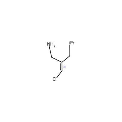 CC(C)C/C(=C/Cl)CN